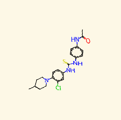 CC(=O)Nc1ccc(NC(=S)Nc2ccc(N3CCC(C)CC3)c(Cl)c2)cc1